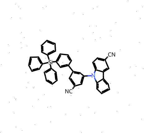 N#Cc1cc(-c2cccc([Si](c3ccccc3)(c3ccccc3)c3ccccc3)c2)cc(-n2c3ccccc3c3cc(C#N)ccc32)c1